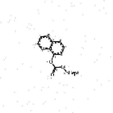 CCCCCCCOC(=O)Oc1cccc2ccccc12